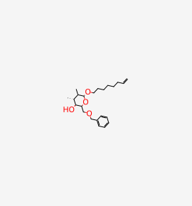 C=CCCCCCCO[C@@H]1OC(COCc2ccccc2)[C@@H](O)[C@H](C)C1C